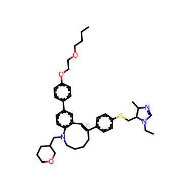 CCCCOCCOc1ccc(-c2ccc3c(c2)/C=C(/c2ccc(SCC4C(C)N=CN4CC)cc2)CCCCN3CC2CCCOC2)cc1